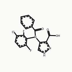 O=C(O)c1n[nH]cc1N(C(=O)c1ccccc1)c1c(F)ccc(Cl)c1F